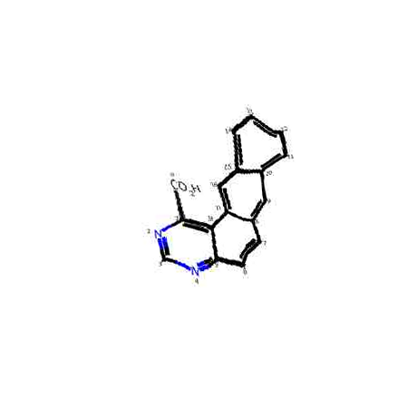 O=C(O)c1ncnc2ccc3cc4ccccc4cc3c12